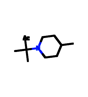 CC(=O)C(C)(C)N1CCC(C)CC1